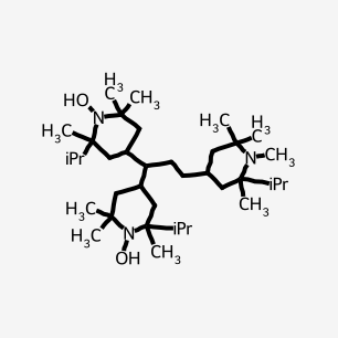 CC(C)C1(C)CC(CCC(C2CC(C)(C)N(O)C(C)(C(C)C)C2)C2CC(C)(C)N(O)C(C)(C(C)C)C2)CC(C)(C)N1C